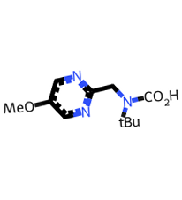 COc1cnc(CN(C(=O)O)C(C)(C)C)nc1